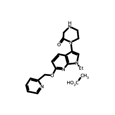 CC(=O)O.CCn1cc(N2CCNCC2=O)c2ccc(OCc3ccccn3)nc21